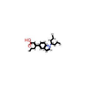 CCC/C(=C\C(=O)O)c1ccc2c(ccn2C(CCC)CCC)c1